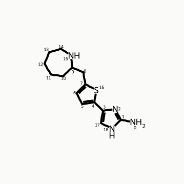 Nc1nc(-c2ccc(CC3CCCCCN3)s2)c[nH]1